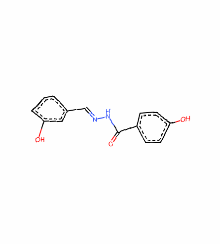 O=C(NN=Cc1cccc(O)c1)c1ccc(O)cc1